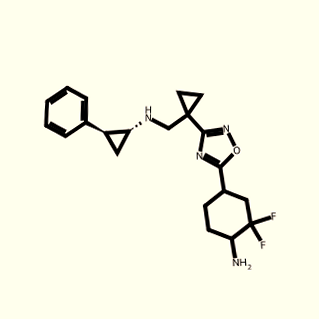 NC1CCC(c2nc(C3(CN[C@@H]4C[C@H]4c4ccccc4)CC3)no2)CC1(F)F